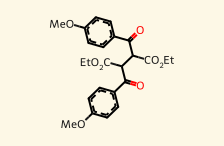 CCOC(=O)C(C(=O)c1ccc(OC)cc1)C(C(=O)OCC)C(=O)c1ccc(OC)cc1